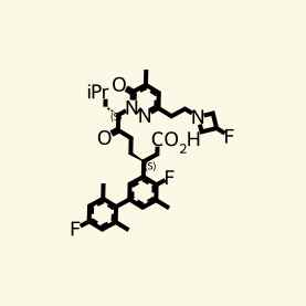 Cc1cc(-c2c(C)cc(F)cc2C)cc([C@@H](CCC(=O)[C@H](CC(C)C)n2nc(CCN3CC(F)C3)cc(C)c2=O)CC(=O)O)c1F